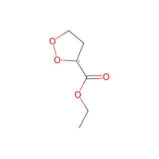 CCOC(=O)[C]1CCOO1